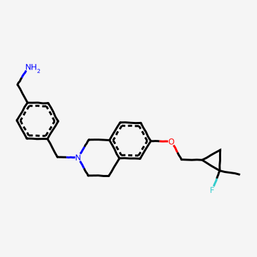 CC1(F)CC1COc1ccc2c(c1)CCN(Cc1ccc(CN)cc1)C2